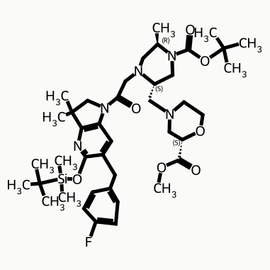 COC(=O)[C@@H]1CN(C[C@H]2CN(C(=O)OC(C)(C)C)[C@H](C)CN2CC(=O)N2CC(C)(C)c3nc(O[Si](C)(C)C(C)(C)C)c(Cc4ccc(F)cc4)cc32)CCO1